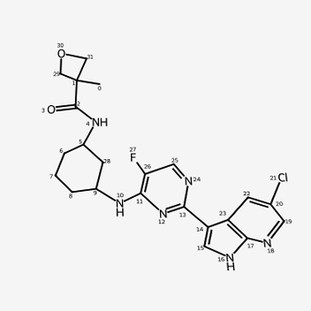 CC1(C(=O)NC2CCCC(Nc3nc(-c4c[nH]c5ncc(Cl)cc45)ncc3F)C2)COC1